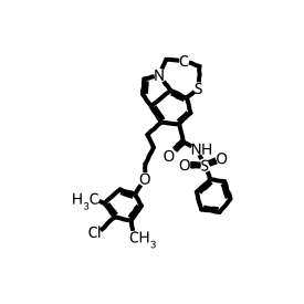 Cc1cc(OCCCc2c(C(=O)NS(=O)(=O)c3ccccc3)cc3c4c2ccn4CCCS3)cc(C)c1Cl